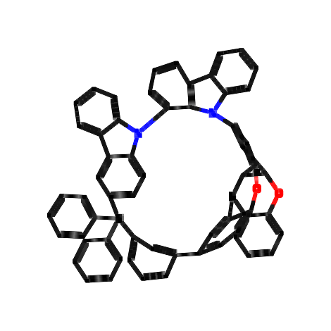 c1ccc([Si]2(c3ccccc3)c3cccc(c3)-c3ccc4c(c3)B3c5ccccc5Oc5cc(cc(c53)O4)-n3c4ccccc4c4cccc(c43)-n3c4ccccc4c4cc2ccc43)cc1